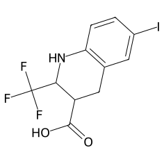 O=C(O)C1Cc2cc(I)ccc2NC1C(F)(F)F